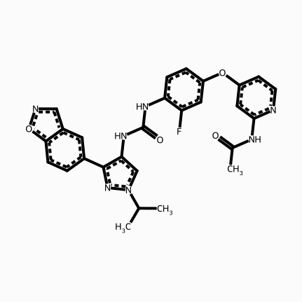 CC(=O)Nc1cc(Oc2ccc(NC(=O)Nc3cn(C(C)C)nc3-c3ccc4oncc4c3)c(F)c2)ccn1